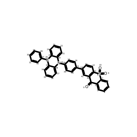 O=C1c2ccccc2S(=O)(=O)c2ccc(-c3ccc(N4c5ccccc5B(c5ccccc5)c5ccccc54)cc3)cc21